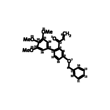 C=CC(=O)c1cc(OCc2ccccc2)ccc1-c1cc(OC)c(OC)c(OC)c1